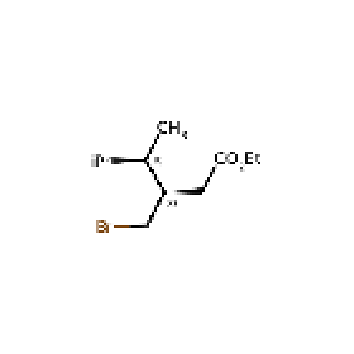 CCOC(=O)C[C@@H](CBr)[C@H](C)C(C)C